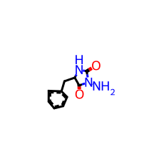 NN1C(=O)NC(Cc2ccccc2)C1=O